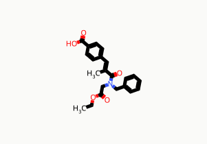 CCOC(=O)CN(Cc1ccccc1)C(=O)C(C)=Cc1ccc(C(=O)O)cc1